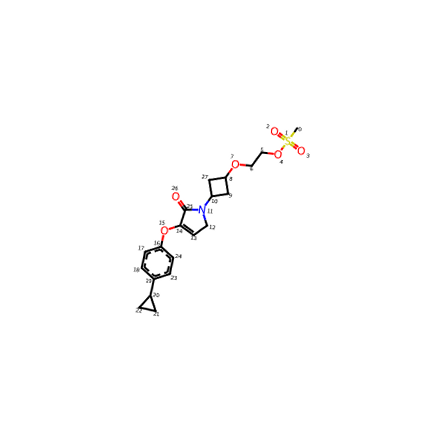 CS(=O)(=O)OCCOC1CC(N2CC=C(Oc3ccc(C4CC4)cc3)C2=O)C1